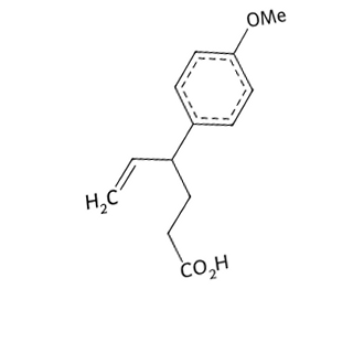 C=CC(CCC(=O)O)c1ccc(OC)cc1